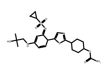 CC(C)(O)CNC1=CC(=NS(=O)(=O)C2CC2)C(c2cnc(C3CCC(OC(N)=O)CC3)s2)C=C1